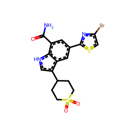 NC(=O)c1cc(-c2nc(Br)cs2)cc2c(C3CCS(=O)(=O)CC3)c[nH]c12